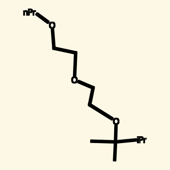 CCCOCCOCCOC(C)(C)C(C)C